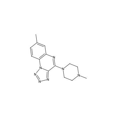 Cc1ccc2c(c1)nc(N1CCN(C)CC1)c1nnnn12